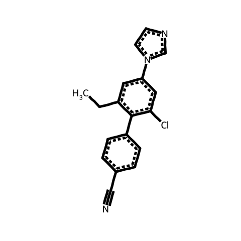 CCc1cc(-n2ccnc2)cc(Cl)c1-c1ccc(C#N)cc1